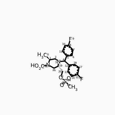 C[C@H]1CN(C(c2ccc(F)cc2)c2ccc(F)cc2)[C@H](COS(C)(=O)=O)CN1C(=O)O